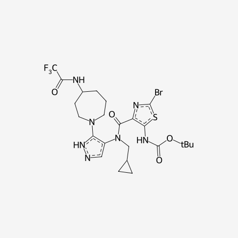 CC(C)(C)OC(=O)Nc1sc(Br)nc1C(=O)N(CC1CC1)c1cn[nH]c1N1CCCC(NC(=O)C(F)(F)F)CC1